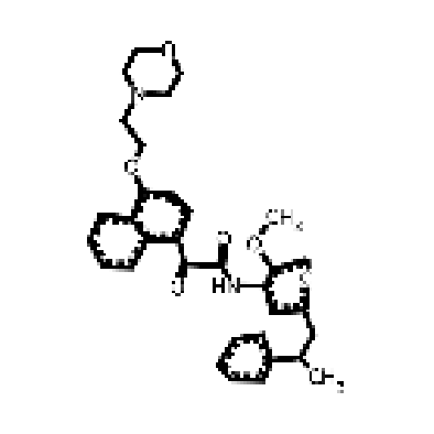 COc1ccc(CC(C)c2ccccc2)cc1NC(=O)C(=O)c1ccc(OCCN2CCOCC2)c2ccccc12